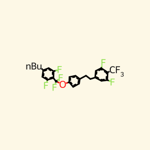 CCCCc1cc(F)c(C(F)(F)Oc2ccc(CCc3cc(F)c(C(F)(F)F)c(F)c3)cc2)c(F)c1